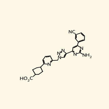 N#Cc1cccc(-c2cc(-c3cn(Cc4cccc(C5CCC(C(=O)O)CC5)n4)nn3)nc(N)n2)c1